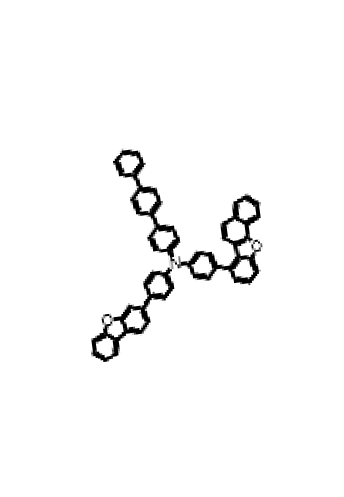 c1ccc(-c2ccc(-c3ccc(N(c4ccc(-c5ccc6c(c5)oc5ccccc56)cc4)c4ccc(-c5cccc6oc7c8ccccc8ccc7c56)cc4)cc3)cc2)cc1